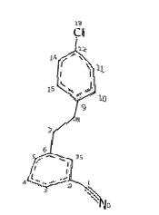 N#Cc1cccc(C[CH]c2ccc(Cl)cc2)c1